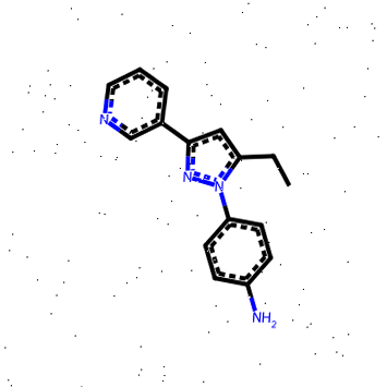 CCc1cc(-c2cccnc2)nn1-c1ccc(N)cc1